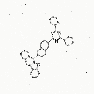 c1ccc(-c2nc(-c3ccccc3)nc(-c3ccc4cc(-c5c6ccccc6cc6c5oc5ccccc56)ccc4c3)n2)cc1